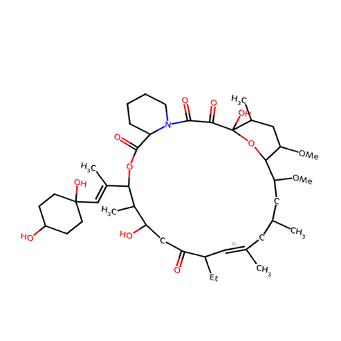 CCC1/C=C(\C)CC(C)CC(OC)C2OC(O)(C(=O)C(=O)N3CCCCC3C(=O)OC(C(C)=CC3(O)CCC(O)CC3)C(C)C(O)CC1=O)C(C)CC2OC